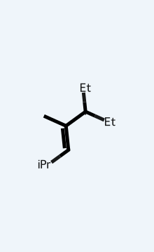 CC[C](CC)C(C)=CC(C)C